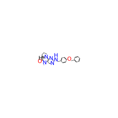 CN1C(=O)[C@H]2CCCN2c2nc(NCc3ccc(OCc4ccccc4)cc3)ncc21